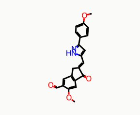 COc1ccc(-c2cc(/C=C3\Cc4cc(C=O)c(OC)cc4C3=O)[nH]n2)cc1